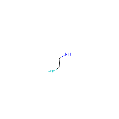 CNCC[18F]